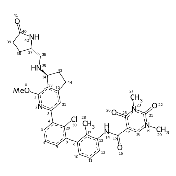 COc1nc(-c2cccc(-c3cccc(NC(=O)c4cn(C)c(=O)n(C)c4=O)c3C)c2Cl)cc2c1[C@@H](NC[C@@H]1CCC(=O)N1)CC2